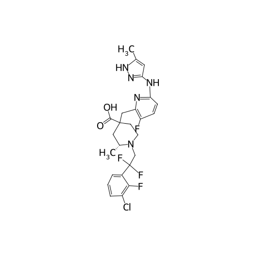 Cc1cc(Nc2ccc(F)c(CC3(C(=O)O)CCN(CC(F)(F)c4cccc(Cl)c4F)[C@H](C)C3)n2)n[nH]1